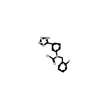 CCC(=O)N(Cc1ccccc1F)c1cccc(-c2nnn[nH]2)c1